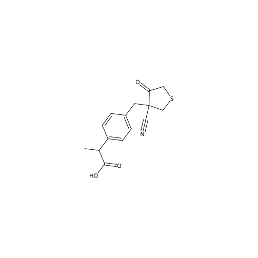 CC(C(=O)O)c1ccc(CC2(C#N)CSCC2=O)cc1